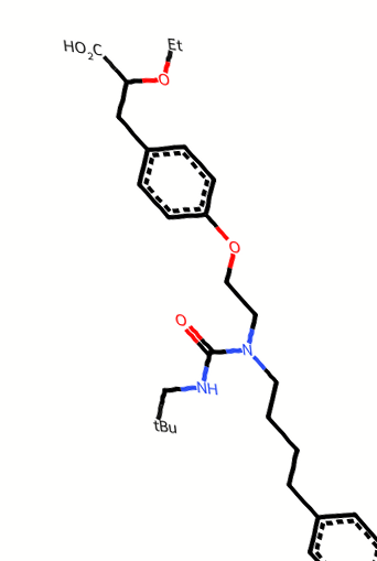 CCOC(Cc1ccc(OCCN(CCCCc2ccccc2)C(=O)NCC(C)(C)C)cc1)C(=O)O